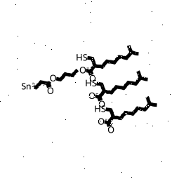 CC(C)CCCCCC(CS)C(=O)[O-].CC(C)CCCCCC(CS)C(=O)[O-].CC(C)CCCCCC(CS)C(=O)[O-].CCCCOC(=O)C[CH2][Sn+3]